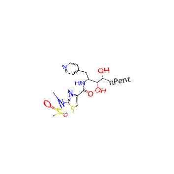 CCCCCC(O)C(O)C(Cc1ccncc1)NC(=O)c1csc(N(C)S(C)(=O)=O)n1